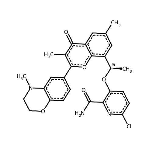 Cc1cc([C@@H](C)Oc2ccc(Cl)nc2C(N)=O)c2oc(-c3ccc4c(c3)N(C)CCO4)c(C)c(=O)c2c1